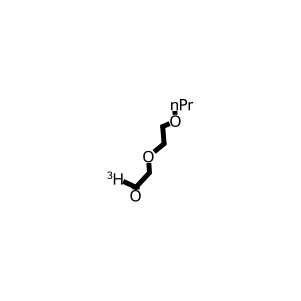 [3H]C(=O)COCCOCCC